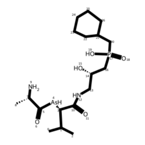 CC(C)[C@H]([AsH]C(=O)[C@H](C)N)C(=O)NC[C@H](O)CP(=O)(O)CC1CCCCC1